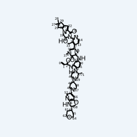 C=CC(=O)Nc1cc(Nc2nc(-c3ccnc(N4CCn5c(cc6c5CC(C)(C)C6)C4=O)c3CO)cn(C)c2=O)ccc1N1CCN(C2CCN(c3cnc4c(c3)OC[C@@H](C3CCOCC3)N4)CC2)C[C@@H]1C